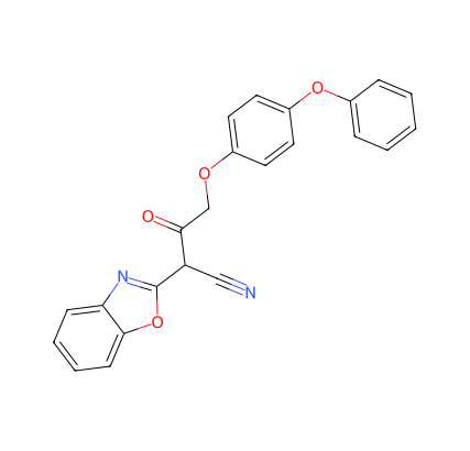 N#CC(C(=O)COc1ccc(Oc2ccccc2)cc1)c1nc2ccccc2o1